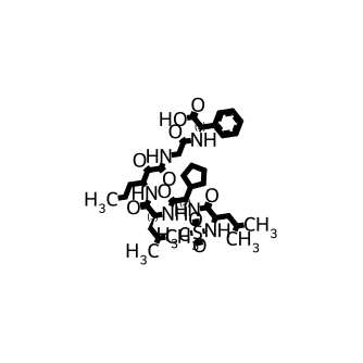 CCCC(NC(=O)[C@H](CC(C)C)NC(=O)[C@@H](NC(=O)C(CC(C)C)NS(C)(=O)=O)C1CCCC1)C(=O)C(=O)NCC(=O)N[C@H](C(=O)O)c1ccccc1